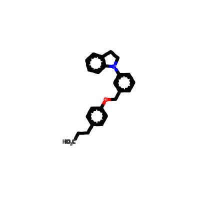 O=C(O)CCc1ccc(OCc2cccc(N3CCc4ccccc43)c2)cc1